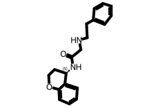 O=C(CNCCc1ccccc1)N[C@H]1CCOc2ccccc21